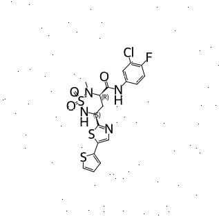 CN1[C@@H](C(=O)Nc2ccc(F)c(Cl)c2)C[C@@H](c2ncc(-c3cccs3)s2)NS1(=O)=O